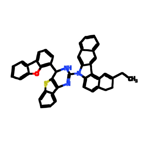 CCC1=Cc2c(ccc3c2c2cc4ccccc4cc2n3C2=Nc3c(sc4ccccc34)C(c3cccc4c3oc3ccccc34)N2)CC1